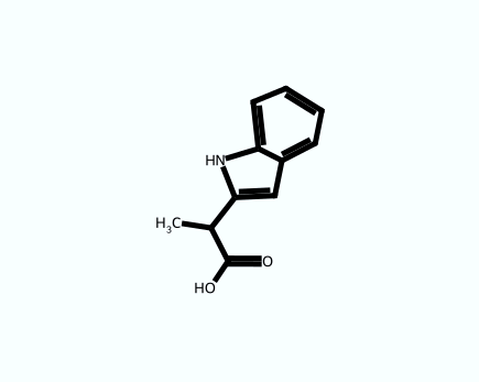 C[C](C(=O)O)c1cc2ccccc2[nH]1